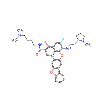 CN(C)CCCCNC(=O)c1cn2c3c(c(NCCC4CCCN4C)c(F)cc3c1=O)Oc1cc3c(cc1-2)oc1ccccc13